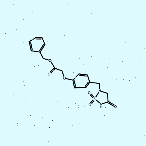 O=C1CN(Cc2ccc(OCC(=O)OCc3ccccc3)cc2)S(=O)(=O)N1